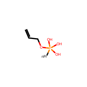 C=CCOP(O)(O)(O)CCC